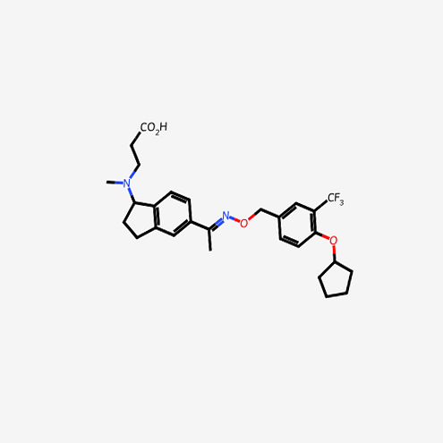 C/C(=N\OCc1ccc(OC2CCCC2)c(C(F)(F)F)c1)c1ccc2c(c1)CCC2N(C)CCC(=O)O